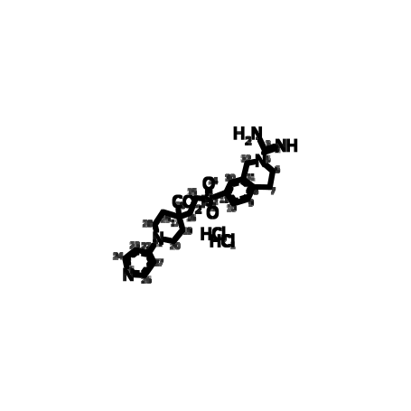 Cl.Cl.N=C(N)N1CCc2ccc(S(=O)(=O)CCC3(C(=O)O)CCN(c4ccncc4)CC3)cc2C1